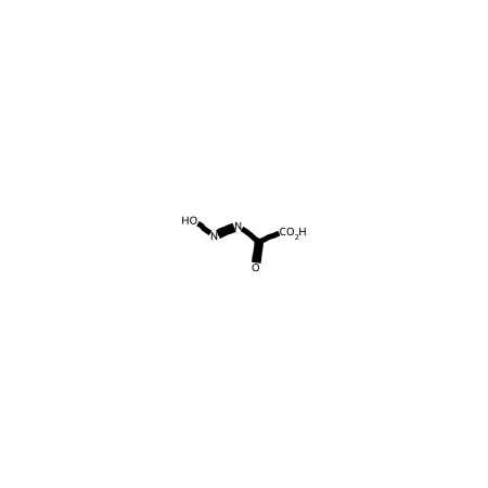 O=C(O)C(=O)N=NO